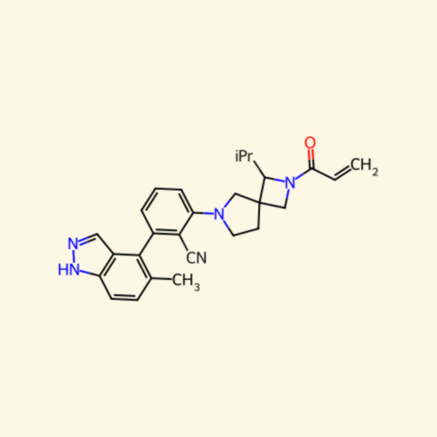 C=CC(=O)N1CC2(CCN(c3cccc(-c4c(C)ccc5[nH]ncc45)c3C#N)C2)C1C(C)C